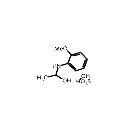 COc1ccccc1NC(C)O.O=S(=O)(O)O